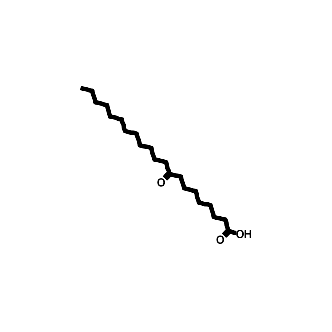 CCCCCCCCCCCCC(=O)CCCCCCCC(=O)O